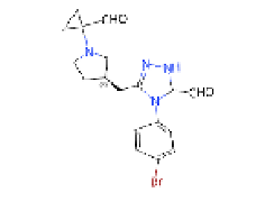 O=CC1NN=C(C[C@H]2CCN(C3(C=O)CC3)C2)N1c1ccc(Br)cc1